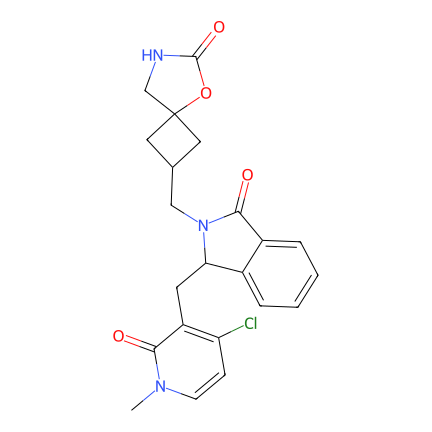 Cn1ccc(Cl)c(CC2c3ccccc3C(=O)N2CC2CC3(CNC(=O)O3)C2)c1=O